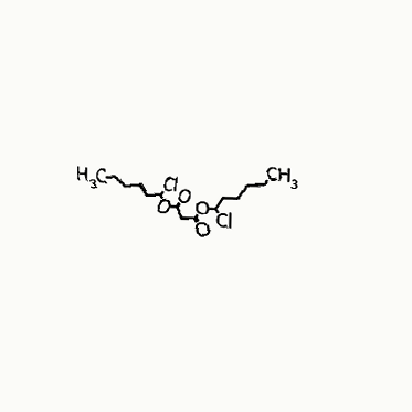 CCCCCC(Cl)OC(=O)CC(=O)OC(Cl)CCCCC